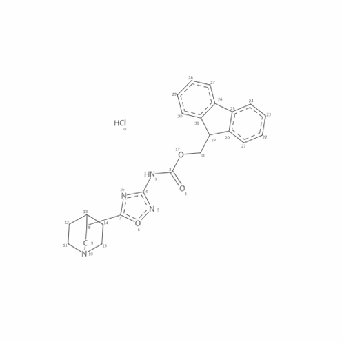 Cl.O=C(Nc1noc(C2CN3CCC2CC3)n1)OCC1c2ccccc2-c2ccccc21